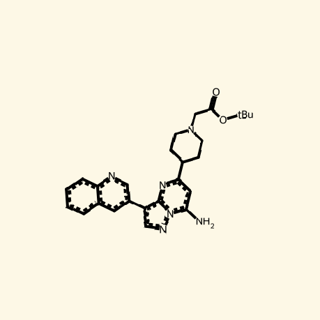 CC(C)(C)OC(=O)CN1CCC(c2cc(N)n3ncc(-c4cnc5ccccc5c4)c3n2)CC1